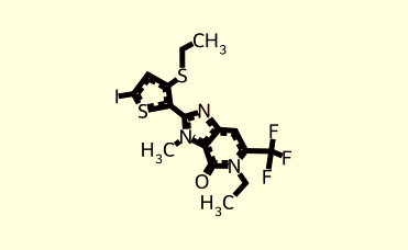 CCSc1cc(I)sc1-c1nc2cc(C(F)(F)F)n(CC)c(=O)c2n1C